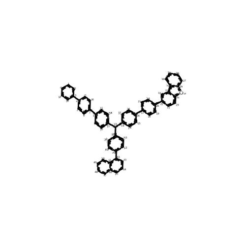 c1ccc(-c2ccc(-c3ccc(C(c4ccc(-c5ccc(-c6ccc7oc8ccccc8c7c6)cc5)cc4)c4ccc(-c5cccc6ccccc56)cc4)cc3)cc2)cc1